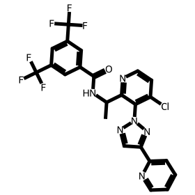 CC(NC(=O)c1cc(C(F)(F)F)cc(C(F)(F)F)c1)c1nccc(Cl)c1-n1ncc(-c2ccccn2)n1